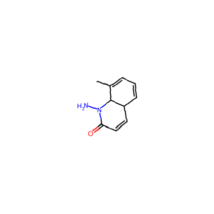 CC1=CC=CC2C=CC(=O)N(N)C12